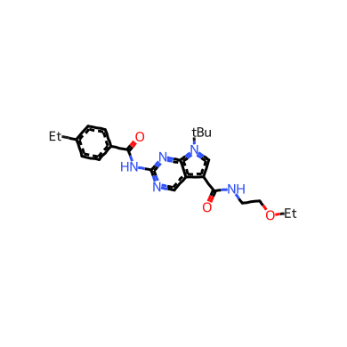 CCOCCNC(=O)c1cn(C(C)(C)C)c2nc(NC(=O)c3ccc(CC)cc3)ncc12